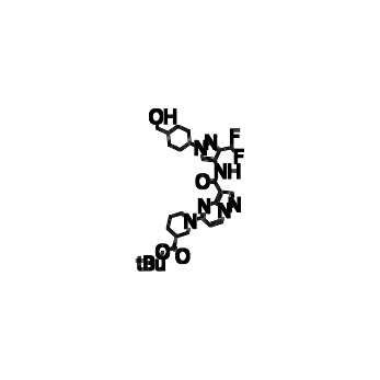 CC(C)(C)OC(=O)[C@H]1CCCN(c2ccn3ncc(C(=O)Nc4cn(C5CCC(CO)CC5)nc4C(F)F)c3n2)C1